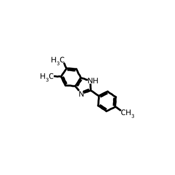 Cc1ccc(-c2nc3cc(C)c(C)cc3[nH]2)cc1